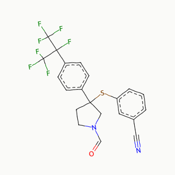 N#Cc1cccc(SC2(c3ccc(C(F)(C(F)(F)F)C(F)(F)F)cc3)CCN(C=O)C2)c1